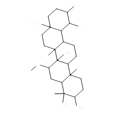 CCOC1CC2C(C)(C)C(OC)CCC2(C)C2CCC3C4C(C)C(C)CCC4(C(=O)O)CCC3(C)C12C